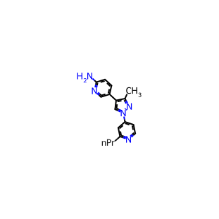 CCCc1cc(-n2cc(-c3ccc(N)nc3)c(C)n2)ccn1